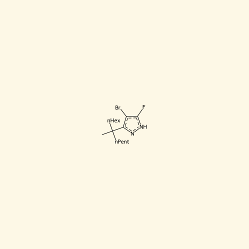 CCCCCCC(C)(CCCCC)c1n[nH]c(F)c1Br